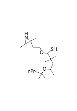 CCCC(C)(C)OC(C)CC(C)(C)C(S)OCCC1(C)NC1C